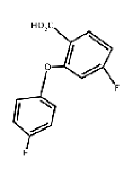 O=C(O)c1ccc(F)cc1Oc1ccc(F)cc1